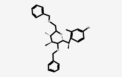 Cc1cc(Br)ccc1[C@@H](C)[C@H]1OC(COCc2ccccc2)[C@@H](C)[C@H](C)C1OCc1ccccc1